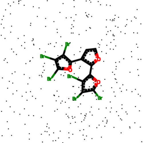 Brc1oc(-c2ccoc2-c2oc(Br)c(Br)c2Br)c(Br)c1Br